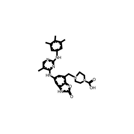 Cc1cnc(Nc2cc(C)c(C)c(C)c2)nc1Nc1cc(CN2CCN(C(=O)O)CC2)c2oc(=O)[nH]c2c1